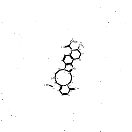 COC(=O)N1c2ccc3c(nc4n3CCN[C@@H](CO)c3cccc(=O)n3CC4)c2CC[C@@H]1C